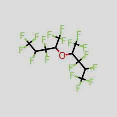 FC(C(F)(F)F)C(F)(F)C(OC(C(F)(F)F)C(F)(F)C(F)C(F)(F)F)C(F)(F)F